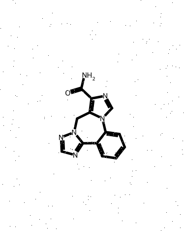 NC(=O)c1ncn2c1Cn1ncnc1-c1ccccc1-2